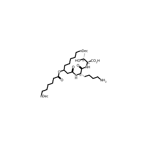 CCCCCCCCCCCCCCCC(=O)OC(CCCCCCCCCCCCCCC)CC(=O)N[C@@H](CCCCN)C(=O)N[C@H](C(=O)O)[C@@H](C)O